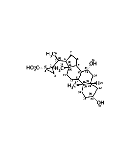 C[C@H]([C@H]1C[C@@H]1C(=O)O)[C@H]1CCC2C3C(CC[C@@]21C)[C@@]1(C)CC[C@@H](O)C[C@H]1C[C@H]3O